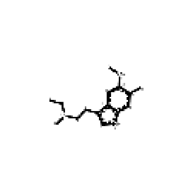 CCN(C)CCc1c[nH]c2cc(C)c(OC)cc12